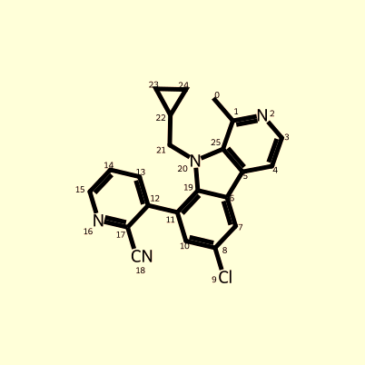 Cc1nccc2c3cc(Cl)cc(-c4cccnc4C#N)c3n(CC3CC3)c12